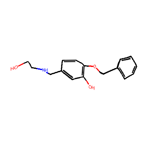 OCCNCc1ccc(OCc2ccccc2)c(O)c1